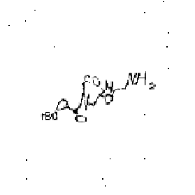 CC(C)(C)OC(=O)N(CCOCCN)CC(=O)O